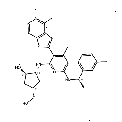 Cc1cccc([C@@H](C)Nc2nc(C)c(-c3nc4c(C)nccc4s3)c(N[C@@H]3C[C@H](CO)C[C@H]3O)n2)c1